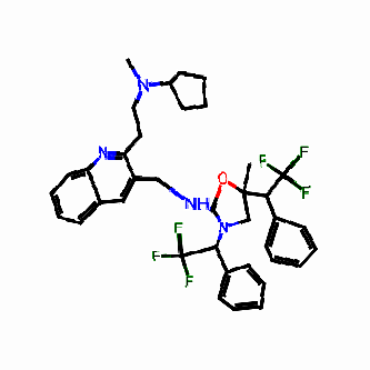 CN(CCc1nc2ccccc2cc1CNC1OC(C)(C(c2ccccc2)C(F)(F)F)CN1C(c1ccccc1)C(F)(F)F)C1CCCC1